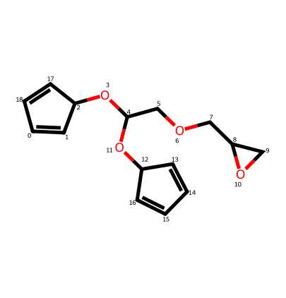 C1=CC(OC(COCC2CO2)OC2C=CC=C2)C=C1